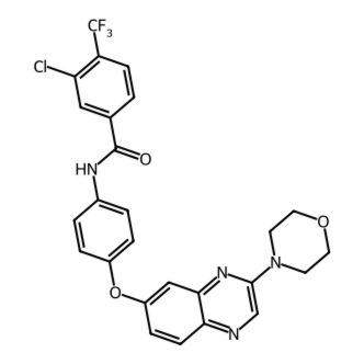 O=C(Nc1ccc(Oc2ccc3ncc(N4CCOCC4)nc3c2)cc1)c1ccc(C(F)(F)F)c(Cl)c1